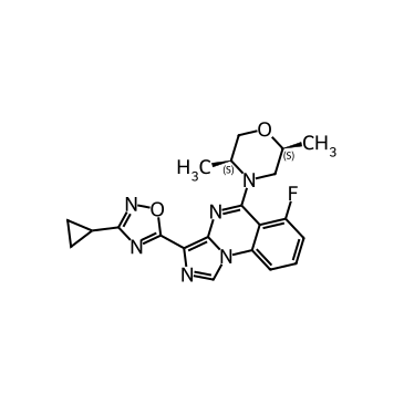 C[C@H]1CN(c2nc3c(-c4nc(C5CC5)no4)ncn3c3cccc(F)c23)[C@@H](C)CO1